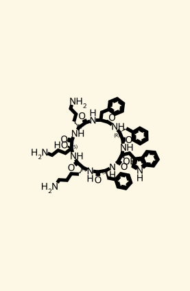 NCCCC[C@H]1NC(=O)[C@H](Cc2ccccc2)NC(=O)[C@](O)(Cc2c[nH]c3ccccc23)NC(=O)[C@@H](Cc2ccccc2)NC(=O)C(Cc2ccccc2)NC(=O)[C@@H](CCCN)NC(=O)[C@@](O)(CCCN)NC1=O